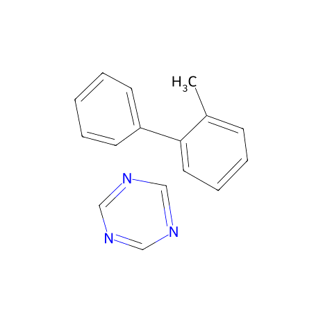 Cc1ccccc1-c1ccccc1.c1ncncn1